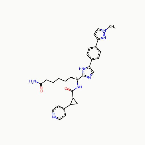 Cn1ccc(-c2ccc(-c3cnc([C@H](CCCCCC(N)=O)NC(=O)C4CC4c4ccncc4)[nH]3)cc2)n1